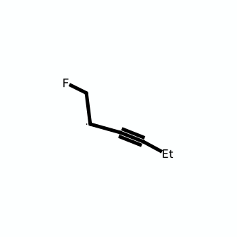 CCC#C[CH]CF